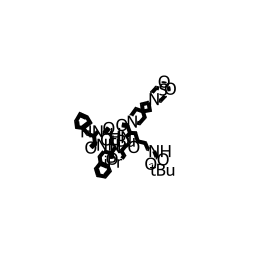 CC(C)CC(NC(=O)C(Cc1ccccc1)NC(=O)C(Cc1ccccc1)NC(=O)OC(C)(C)C)C(=O)NC(CCCCNC(=O)OC(C)(C)C)C(=O)N1CCC2(CC1)CC(N1CCS(=O)(=O)CC1)C2